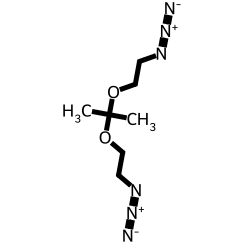 CC(C)(OCCN=[N+]=[N-])OCCN=[N+]=[N-]